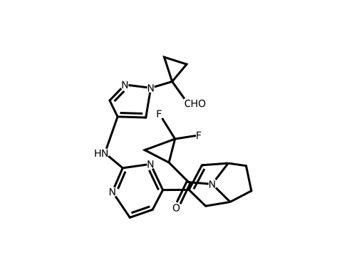 O=CC1(n2cc(Nc3nccc(C4=CC5CCC(C4)N5C(=O)C4CC4(F)F)n3)cn2)CC1